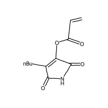 C=CC(=O)OC1=C(CCCC)C(=O)NC1=O